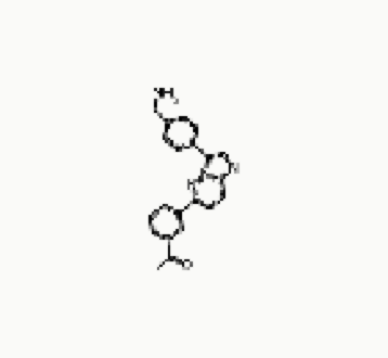 CC(=O)c1cccc(-c2ccc3ncc(-c4ccc(CN)cc4)n3n2)c1